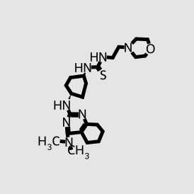 CN(C)c1nc(N[C@H]2CC[C@@H](NC(=S)NCCN3CCOCC3)CC2)nc2c1CCCC2